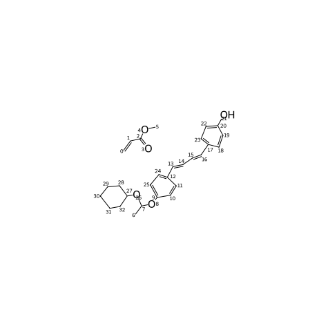 C=CC(=O)OC.CC(Oc1ccc(C=CC=Cc2ccc(O)cc2)cc1)OC1CCCCC1